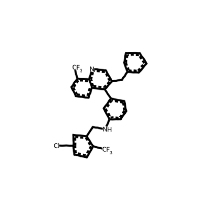 FC(F)(F)c1ccc(Cl)cc1CNc1cccc(-c2c(Cc3ccccc3)cnc3c(C(F)(F)F)cccc23)c1